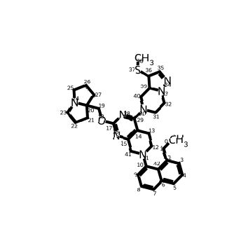 CCc1cccc2cccc(N3CCc4c(nc(OCC56CCCN5CCC6)nc4N4CCN5N=CC(SC)C5C4)C3)c12